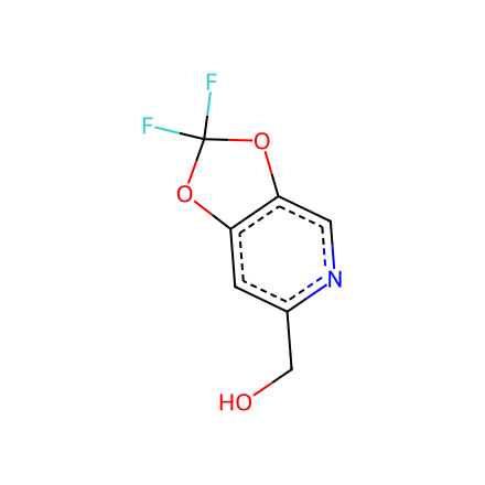 OCc1cc2c(cn1)OC(F)(F)O2